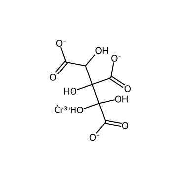 O=C([O-])C(O)C(O)(C(=O)[O-])C(O)(O)C(=O)[O-].[Cr+3]